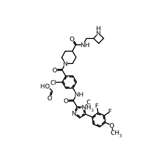 COc1ccc(-c2cnc(C(=O)Nc3ccc(C(=O)N4CCC(C(=O)NCC5CCN5)CC4)c(Cl)c3)n2C)c(F)c1F.O=CO